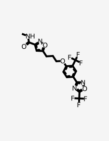 CNC(=O)c1cc(CCCOc2ccc(-c3noc(C(F)(F)F)n3)cc2C(F)(F)F)on1